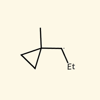 CC[CH]C1(C)CC1